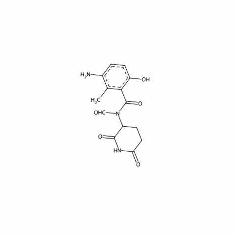 Cc1c(N)ccc(O)c1C(=O)N(C=O)C1CCC(=O)NC1=O